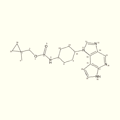 CC1(COC(=O)NC2CCC(n3cnc4cnc5[nH]ccc5c43)CC2)CC1